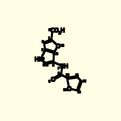 O=C(O)c1cc2[nH]nc(NC(=O)c3ccco3)c2o1